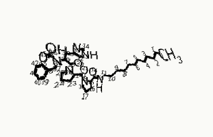 CCCCCCCCCCCCNC(=O)C1CCCN1C(=O)C1CCCN1C(=O)C(Cc1c[nH]cn1)N(Cc1ccccc1)C(=O)O